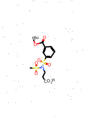 CC(C)(C)OC(=O)c1cccc(S(=O)(=O)N(CCC(=O)O)S(C)(=O)=O)c1